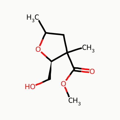 COC(=O)C1(C)CC(C)O[C@@H]1CO